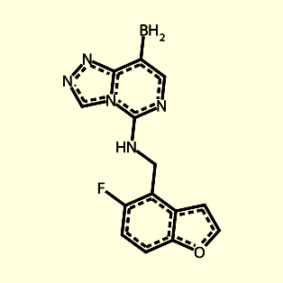 Bc1cnc(NCc2c(F)ccc3occc23)n2cnnc12